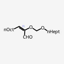 CCCCCCCC/C=C(\C=O)OCOCCCCCCC